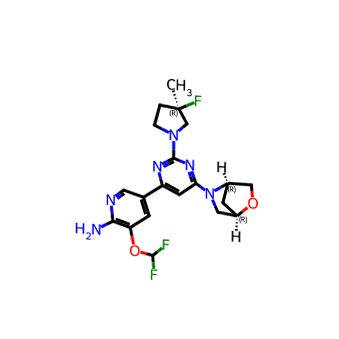 C[C@@]1(F)CCN(c2nc(-c3cnc(N)c(OC(F)F)c3)cc(N3C[C@H]4C[C@@H]3CO4)n2)C1